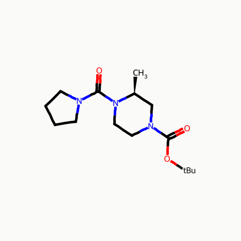 C[C@H]1CN(C(=O)OC(C)(C)C)CCN1C(=O)N1CCCC1